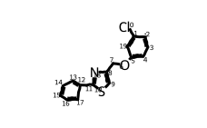 Clc1[c]ccc(OCc2csc(-c3ccccc3)n2)c1